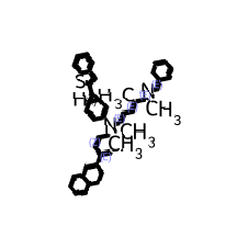 C/C=C(\C=C/CN(C1=CC2C(c3cc4ccccc4s3)[C@@H]2C=C1)/C(C)=C/C=C(C)/C(C)=N/C=C1/C=CC=CC1)C1=CC2C=CC=CC2CC1